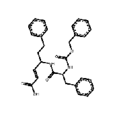 O=C(O)/C=C/C(CCc1ccccc1)NC(=O)C(Cc1ccccc1)NC(=O)OCc1ccccc1